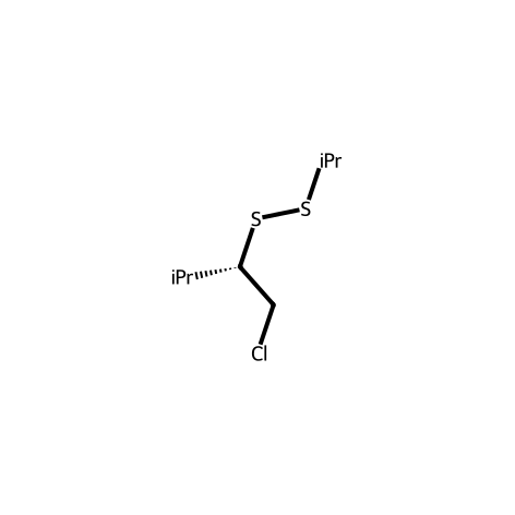 CC(C)SS[C@H](CCl)C(C)C